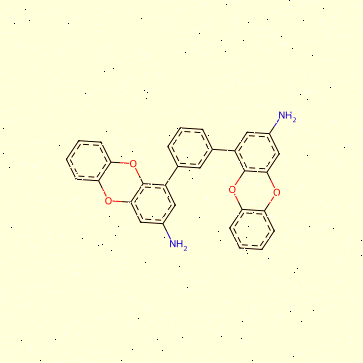 Nc1cc2c(c(-c3cccc(-c4cc(N)cc5c4Oc4ccccc4O5)c3)c1)Oc1ccccc1O2